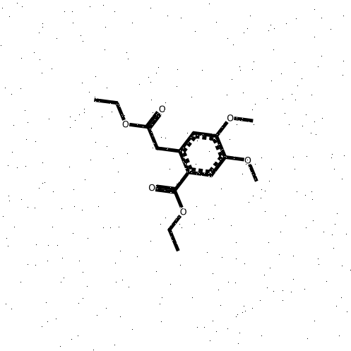 CCOC(=O)Cc1cc(OC)c(OC)cc1C(=O)OCC